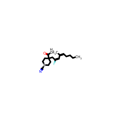 CCCC/C=C(C)\C=C(\F)CC1(C(C)=O)CCB(C#N)CC1